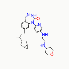 CC(C)C1CC2CC2C1.Cc1ccc2c(c1)N(c1ccc(NCCNC3CCOCC3)cn1)C(=O)NN=C2